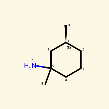 C[C@H]1CCCC(C)(N)C1